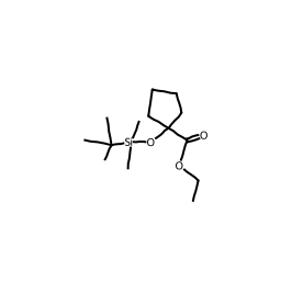 CCOC(=O)C1(O[Si](C)(C)C(C)(C)C)CCCC1